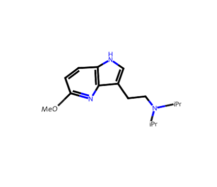 COc1ccc2[nH]cc(CCN(C(C)C)C(C)C)c2n1